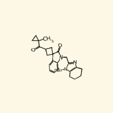 CCCCn1c(CN2C(=O)C3(CC(C(=O)C4(C)CC4)C3)c3ccccc32)nc2c1CCCC2